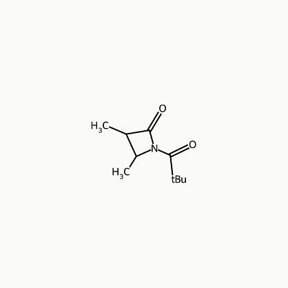 CC1C(=O)N(C(=O)C(C)(C)C)C1C